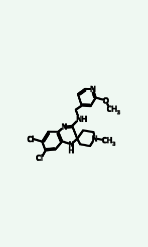 COc1cc(CNC2=Nc3cc(Cl)c(Cl)cc3NC23CCN(C)CC3)ccn1